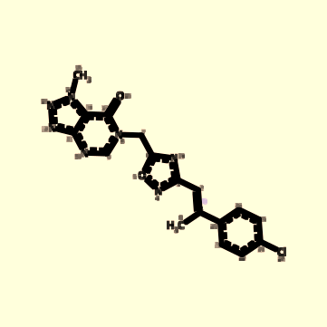 C/C(=C\c1noc(Cn2cnc3nnn(C)c3c2=O)n1)c1ccc(Cl)cc1